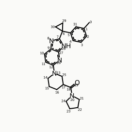 Cc1cccc(C2(c3nc4ccc(N5CCCC(C(=O)N6CCCC6)C5)nc4[nH]3)CC2)c1